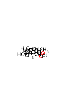 C#C[C@]1(C)CC[C@]2(C)CC[C@]3(C)C4=CC=C5C(=CC(=O)C(OCC)=C5C)[C@]4(C)CC[C@@]3(C)[C@@H]2C1